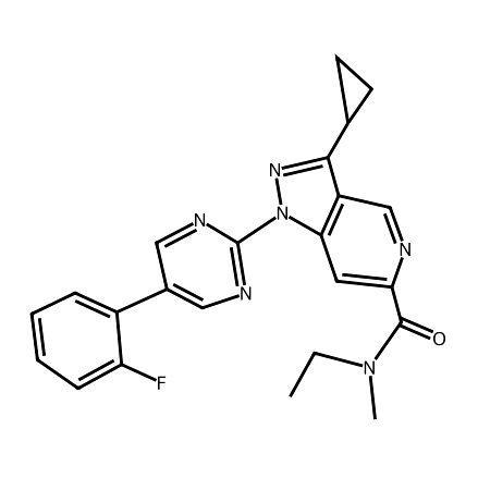 CCN(C)C(=O)c1cc2c(cn1)c(C1CC1)nn2-c1ncc(-c2ccccc2F)cn1